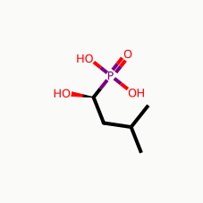 CC(C)C[C@@H](O)P(=O)(O)O